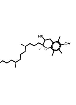 Cc1c(C)c2c(c(C)c1O)CC(S)[C@](C)(CCC[C@H](C)CCC[C@@H](C)CCCC(C)C)O2